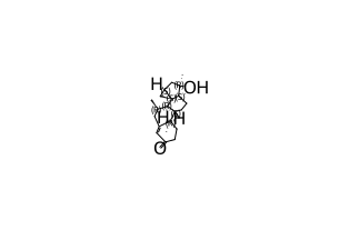 C[C@@H]1CC2=CC(=O)CC[C@]2(C)[C@H]2CC[C@@]3(C)[C@]4(C[C@H]4C[C@@]3(C)O)[C@H]12